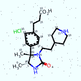 C[C@H]1NC(=O)N(CCC2CCNCC2)[C@@]1(C)c1ccc(CCC(=O)O)cc1.Cl